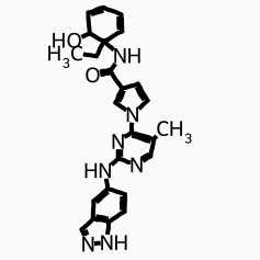 CCC1(NC(=O)c2ccn(-c3nc(Nc4ccc5[nH]ncc5c4)ncc3C)c2)C=CC=CC1O